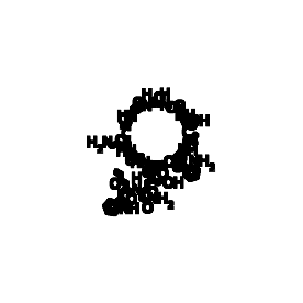 CCC(=O)CC(Cc1c[nH]c2ccccc12)C(=O)NC(CC(N)=O)C(=O)CC(CC(=O)O)C(=O)CC1C(=O)NCC(=O)NC(CCCN)C(=O)CC(C)C(=O)NC(C)C(=O)NC(C)C(=O)NCC(=O)NC(CO)C(=O)CC(C(C)C)C(=O)NC(CC(=O)c2ccccc2N)C(=O)OC1C